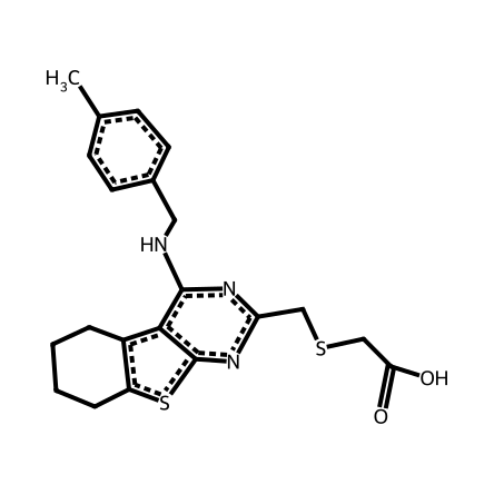 Cc1ccc(CNc2nc(CSCC(=O)O)nc3sc4c(c23)CCCC4)cc1